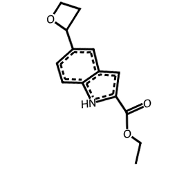 CCOC(=O)c1cc2cc(C3CCO3)ccc2[nH]1